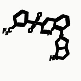 O=S(=O)(c1cccc(C(F)(F)F)c1)c1cnc2c(N3CC4CCNC4C3)cccc2c1